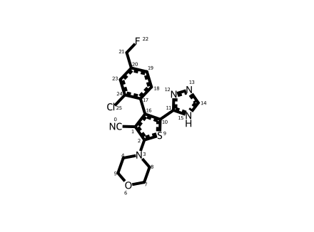 N#Cc1c(N2CCOCC2)sc(-c2nnc[nH]2)c1-c1ccc(CF)cc1Cl